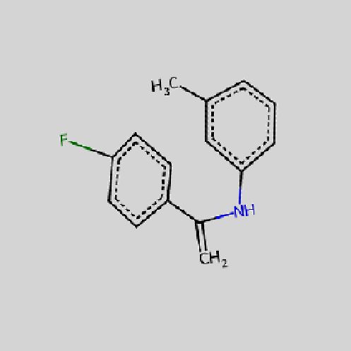 C=C(Nc1cccc(C)c1)c1ccc(F)cc1